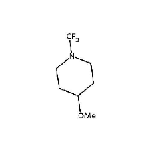 COC1CCN(C(F)(F)F)CC1